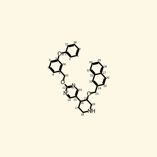 c1ccc(Oc2cccc(COc3ncc(C4CCNCC4OCc4ccc5ccccc5c4)cn3)c2)cc1